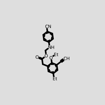 C#Cc1cc(CC)cc(CC(=O)OCNc2ccc(C#N)cc2)c1OC[CH2]